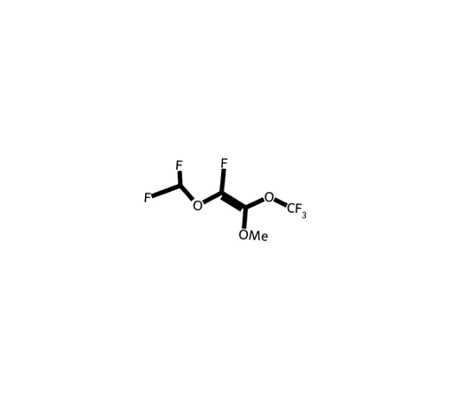 CO/C(OC(F)(F)F)=C(/F)OC(F)F